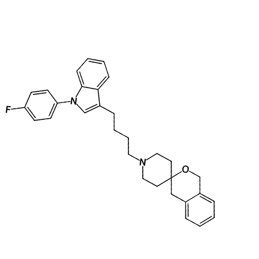 Fc1ccc(-n2cc(CCCCN3CCC4(CC3)Cc3ccccc3CO4)c3ccccc32)cc1